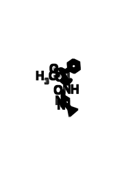 CS(=O)(=O)CC(c1ccccc1)N1CC(NC(=O)c2cn(C3CC3)nn2)C1